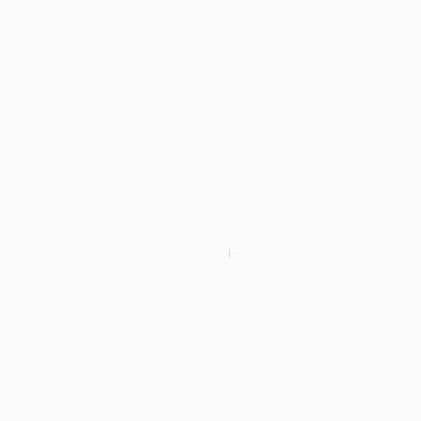 C=CCOc1c(Cc2cc(C)cc(CC(C)C)c2O)cc(C)cc1C(C)(C)C